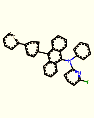 Fc1cccc(N(c2ccccc2)c2c3ccccc3c(-c3ccc(-c4ccccc4)cc3)c3ccccc23)n1